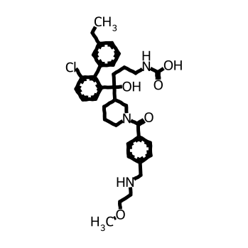 CCc1cccc(-c2c(Cl)cccc2C(O)(CCCNC(=O)O)C2CCCN(C(=O)c3ccc(CNCCOC)cc3)C2)c1